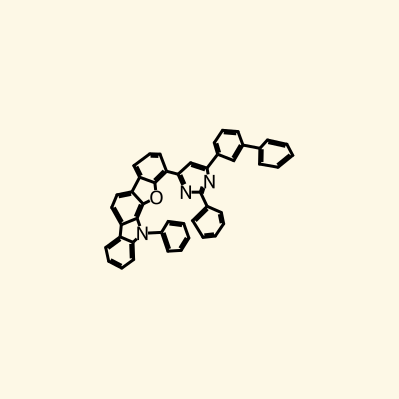 c1ccc(-c2cccc(-c3cc(-c4cccc5c4oc4c5ccc5c6ccccc6n(-c6ccccc6)c54)nc(-c4ccccc4)n3)c2)cc1